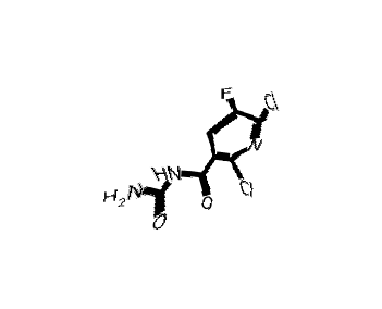 NC(=O)NC(=O)c1cc(F)c(Cl)nc1Cl